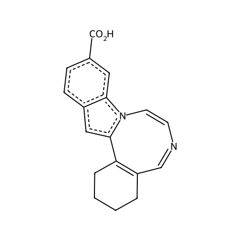 O=C(O)c1ccc2cc3n(c2c1)C=CN=CC1=C3CCCC1